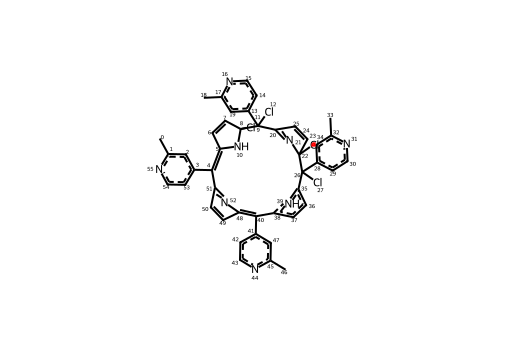 Cc1cc(C2=C3C=CC(Cl)(N3)C(Cl)(c3ccnc(C)c3)C3=NC(Cl)(C=C3)C(Cl)(c3ccnc(C)c3)c3ccc([nH]3)C(c3ccnc(C)c3)=C3C=CC2=N3)ccn1